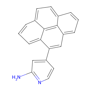 Nc1cc(-c2cc3cccc4ccc5cccc2c5c43)ccn1